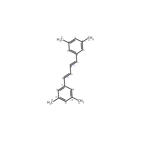 Cc1cc(C)cc(/C=C/C=C/c2cc(C)cc(C)c2)c1